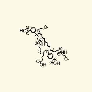 COCCNS(=O)(=O)CCC1(C)C(/C=C/C=C/C=C/C=C2/N(CCOC)c3ccc(S(=O)(=O)O)cc3C2(C)CCS(=O)(=O)NCCOC)=[N+](CCCCCC(=O)O)c2ccc(S(=O)(=O)O)cc21